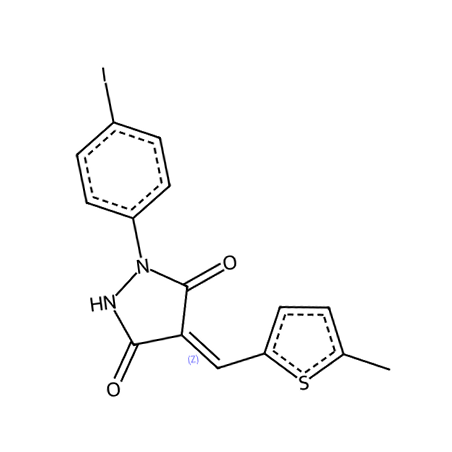 Cc1ccc(/C=C2/C(=O)NN(c3ccc(I)cc3)C2=O)s1